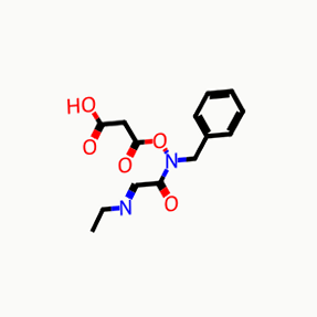 CCN=CC(=O)N(Cc1ccccc1)OC(=O)CC(=O)O